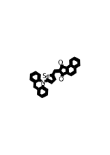 O=C1/C(=C\c2ccc(N3c4ccccc4Cc4ccccc43)[se]2)C(=O)c2c1ccc1ccccc21